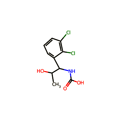 CC(O)C(NC(=O)O)c1cccc(Cl)c1Cl